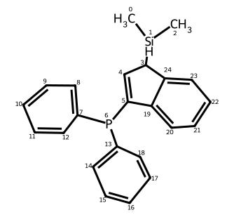 C[SiH](C)C1C=C(P(c2ccccc2)c2ccccc2)c2ccccc21